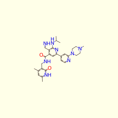 Cc1cc(C)c(CNC(=O)c2cc(-c3ccnc(N4CCN(C)CC4)c3)nc(NC(C)C)c2C=N)c(=O)[nH]1